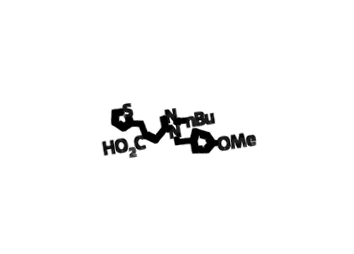 CCCCc1ncc(C=C(Cc2cccs2)C(=O)O)n1Cc1ccc(OC)cc1